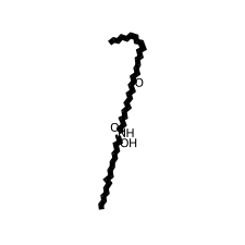 CCCCC/C=C\C/C=C\CCCCCCCC(=O)CCCCCCCCCCC(=O)NC[C@H](O)CCCCCCCCCCCCCCCC